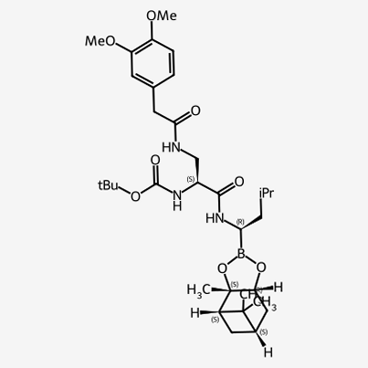 COc1ccc(CC(=O)NC[C@H](NC(=O)OC(C)(C)C)C(=O)N[C@@H](CC(C)C)B2O[C@@H]3C[C@@H]4C[C@@H](C4(C)C)[C@]3(C)O2)cc1OC